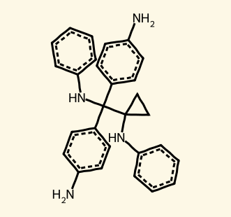 Nc1ccc(C(Nc2ccccc2)(c2ccc(N)cc2)C2(Nc3ccccc3)CC2)cc1